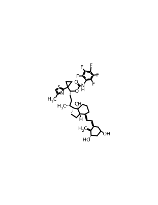 C=C1/C(=C\C=C2/CCC[C@]3(C)[C@@H]([C@H](C)CC[C@@H](OC(=O)Nc4c(F)c(F)c(F)c(F)c4F)C4(c5nc(C)cs5)CC4)CC[C@@H]23)C[C@@H](O)C[C@@H]1O